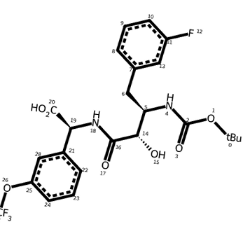 CC(C)(C)OC(=O)N[C@H](Cc1cccc(F)c1)[C@H](O)C(=O)N[C@H](C(=O)O)c1cccc(OC(F)(F)F)c1